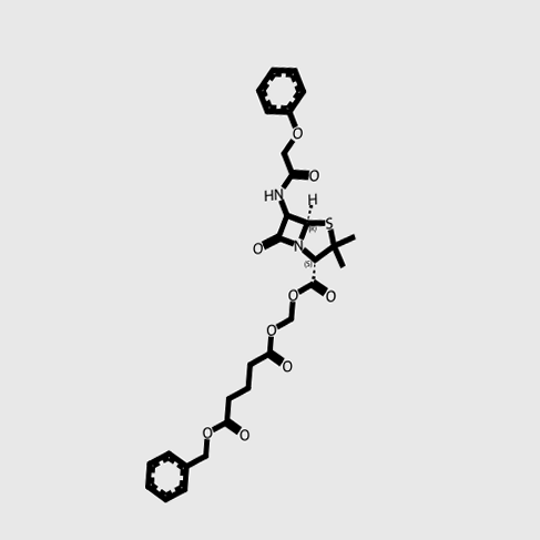 CC1(C)S[C@@H]2C(NC(=O)COc3ccccc3)C(=O)N2[C@H]1C(=O)OCOC(=O)CCCC(=O)OCc1ccccc1